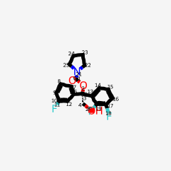 O=C(O[C@](CO)(c1cccc(F)c1)c1cccc(F)c1F)N1CCCC1